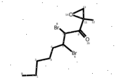 CCCCCC(Br)C(Br)C(=O)C1(C)CO1